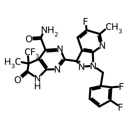 Cc1nc2c(cc1F)c(-c1nc3c(c(C(N)=O)n1)C(C)(C(F)(F)F)C(=O)N3)nn2Cc1cccc(F)c1F